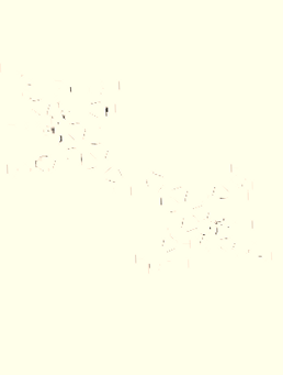 C=CC(=O)Oc1cc(C(C)C)c(N2C(=O)c3cc(Oc4ccc(C(C)(C)C)cc4)c4c5ccc6c7c(ccc(c8c(Oc9ccc(C(C)(C)C)cc9)cc(c3c48)C2=O)c75)-c2cc(CCc3cc4c(cc3C)-c3ccc5c7c(Oc8ccc(C(C)(C)C)cc8)cc8c9c(cc(Oc%10ccc(C(C)(C)C)cc%10)c(c%10ccc-4c3c5%10)c97)C(=O)N(c3c(C(C)C)cc(OC(=O)C=C)cc3C(C)C)C8=O)c(C)cc2-6)c(C(C)C)c1